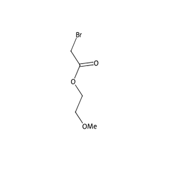 COCCOC(=O)CBr